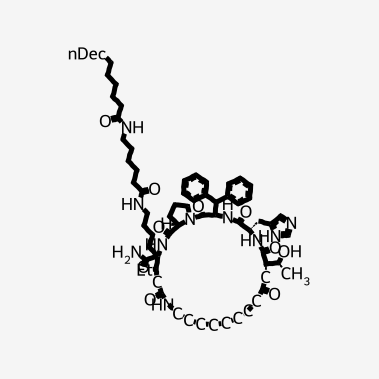 CCCCCCCCCCCCCCCC(=O)NCCCCCC(=O)NCCCCC1(C(N)=O)NC(=O)[C@@H]2CCCN2C(=O)C(C(c2ccccc2)c2ccccc2)NC(=O)[C@H](Cc2cnc[nH]2)NC(=O)[C@H]([C@@H](C)O)CC(=O)CCCCCCCCNC(=O)CC1CC